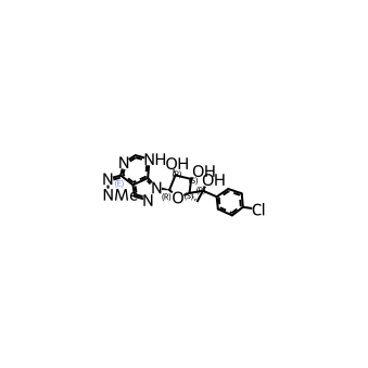 CN/N=c1/nc[nH]c2c1cnn2[C@@H]1O[C@@]2(C[C@@]2(O)c2ccc(Cl)cc2)[C@@H](O)[C@H]1O